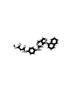 COC(=O)CC(=O)Nc1ccc(Nc2ncc3cnn(-c4cccc5ccccc45)c3n2)cc1